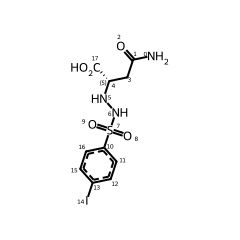 NC(=O)C[C@H](NNS(=O)(=O)c1ccc(I)cc1)C(=O)O